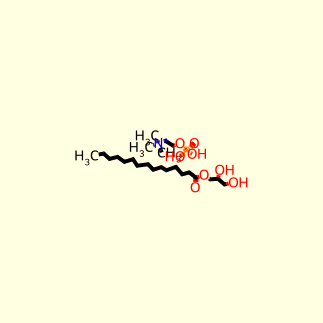 CCCCCCCCCCCCCCC(=O)OCC(O)CO.C[N+](C)(C)CCOP(=O)(O)O